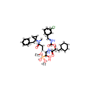 CCOP(=O)(OCC)C(O)[C@H](CCC(=O)N(C)C1(Cc2ccccc2)CC1)NC(=O)[C@H](CC1CCCCC1)OC(=O)NCc1cccc(Cl)c1